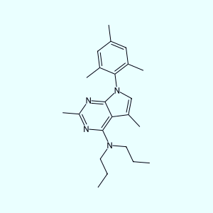 CCCN(CCC)c1nc(C)nc2c1c(C)cn2-c1c(C)cc(C)cc1C